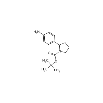 CC(C)(C)OC(=O)N1CCCC1c1ccc(N)cc1